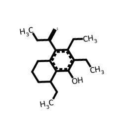 [C]=C(CC)c1c(CC)c(CC)c(O)c2c1CCCC2CC